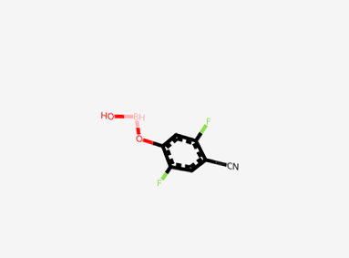 N#Cc1cc(F)c(OBO)cc1F